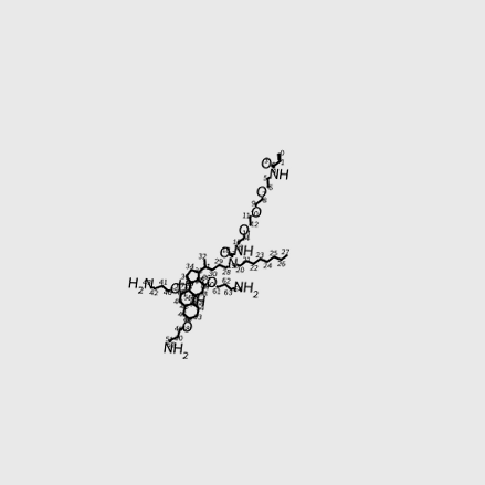 C=CC(=O)NCCOCCOCCOCCNC(=O)N(CCCCCCCC)CCCC(C)C1CC[C@H]2C3[C@H](OCCCN)CC4C[C@H](OCCCN)CC[C@]4(C)[C@H]3C[C@H](OCCCN)[C@]12C